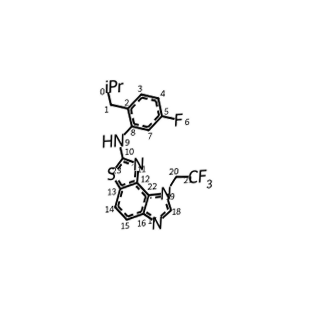 CC(C)Cc1ccc(F)cc1Nc1nc2c(ccc3ncn(CC(F)(F)F)c32)s1